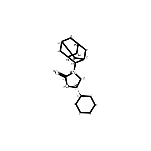 O=C1O[C@@H](C2CCCCC2)CN1C1C2CC3CC(C2)CC1C3